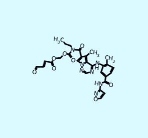 CCCN(C(=O)OCOC(=O)/C=C/C=O)C(=O)c1cn2ncnc(Nc3cc(C(=O)Nc4ccon4)ccc3C)c2c1C